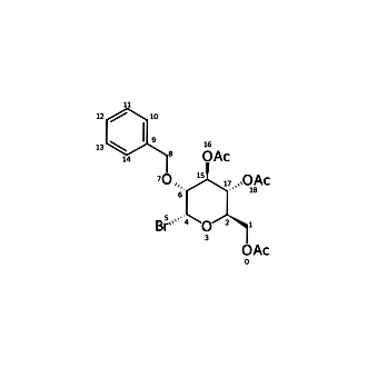 CC(=O)OC[C@H]1O[C@H](Br)[C@H](OCc2ccccc2)[C@@H](OC(C)=O)[C@@H]1OC(C)=O